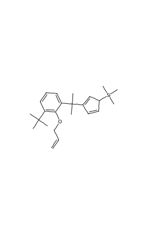 C=CCOc1c(C(C)(C)C)cccc1C(C)(C)C1=CC([Si](C)(C)C)C=C1